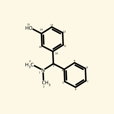 CN(C)C(c1cc[c]cc1)c1cccc(O)c1